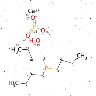 CCCCP(CCCC)CCCC.O.O=[PH]([O-])[O-].[Ca+2]